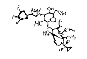 CCN(C)C(=O)[C@H](S[C@@H]1O[C@H](CO)[C@H](O)[C@H](n2cc(-c3cc(F)c(F)c(F)c3)nn2)[C@H]1O)C1(O)CCN(S(=O)(=O)C2CC2)CC1